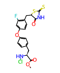 COC(=O)[C@H](Cc1ccc(Oc2ccc(CC3SC(=S)NC3=O)c(F)c2)cc1)NCl